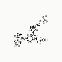 CC(C)(O)Cn1cc(-c2cnn(COCC[Si](C)(C)C)c2)c2cc(C#CC(C)(O)c3nccs3)ncc21